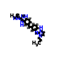 CCCN1CCN/C1=N\C1CCCC(CC2CCCC(NC(=N)NC)C2)C1